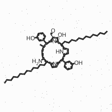 CCCCCCCCCCCCCc1c(N)ccc(C)c(-c2cccc(O)c2)c2nc(c(CCCCCCCCCCCCC)c3ccc([nH]3)c(-c3cccc(O)c3)c3nc1C=C3)[C@H](O)[C@@H]2C=O